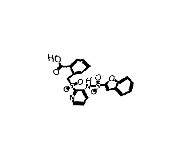 O=C(O)c1ccccc1CS(=O)(=O)c1ncccc1NS(=O)(=O)c1cc2ccccc2o1